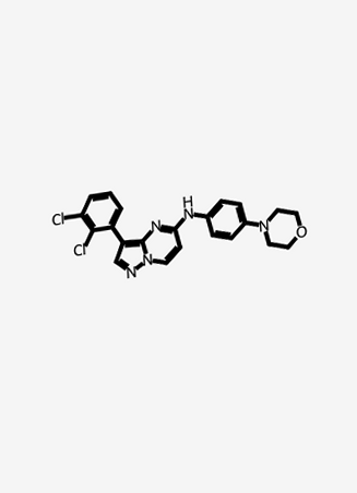 Clc1cccc(-c2cnn3ccc(Nc4ccc(N5CCOCC5)cc4)nc23)c1Cl